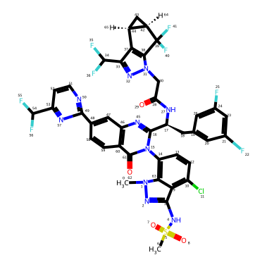 Cn1nc(NS(C)(=O)=O)c2c(Cl)ccc(-n3c([C@H](Cc4cc(F)cc(F)c4)NC(=O)Cn4nc(C(F)F)c5c4C(F)(F)[C@@H]4C[C@H]54)nc4cc(-c5nccc(C(F)F)n5)ccc4c3=O)c21